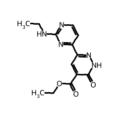 CCNc1nccc(-c2cc(C(=O)OCC)c(=O)[nH]n2)n1